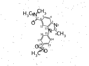 Cc1nc2ccc(C(=O)N(C)C)cc2n1-c1ccc(S(C)(=O)=O)cc1